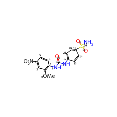 COc1cc([N+](=O)[O-])ccc1NC(=O)Nc1ccc(S(N)(=O)=O)cc1